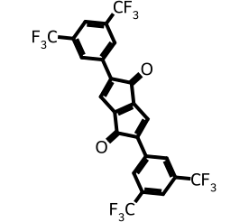 O=c1c(-c2cc(C(F)(F)F)cc(C(F)(F)F)c2)cc2c(=O)c(-c3cc(C(F)(F)F)cc(C(F)(F)F)c3)cc1=2